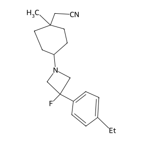 CCc1ccc(C2(F)CN(C3CCC(C)(CC#N)CC3)C2)cc1